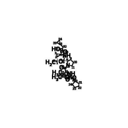 C=C[C@@H]1C[C@]1(NC(=O)[C@@H]1CCCN1C(=O)[C@@H](NC(=O)OC1CCCC1)C(C)(C)C)P(=O)(O)CC1CC1